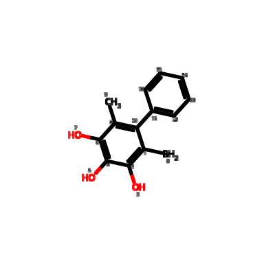 Bc1c(O)c(O)c(O)c(C)c1-c1ccccc1